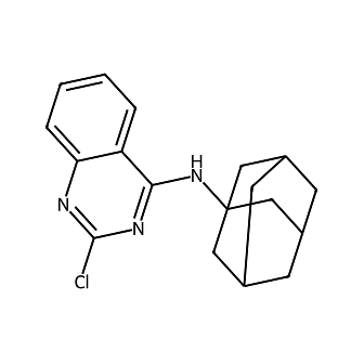 Clc1nc(NC23CC4CC(CC(C4)C2)C3)c2ccccc2n1